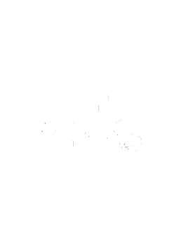 [2H]C([2H])([2H])CC(=O)N(c1ccccc1)C1(OC)CCN(C([2H])([2H])C([2H])([2H])c2cccs2)CC1